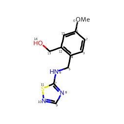 COc1ccc(CNc2ncns2)c(CO)c1